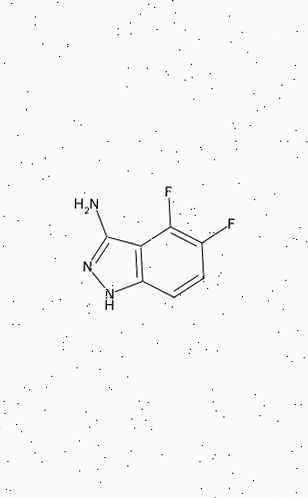 Nc1n[nH]c2ccc(F)c(F)c12